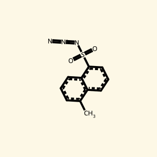 Cc1cccc2c(S(=O)(=O)N=[N+]=[N-])cccc12